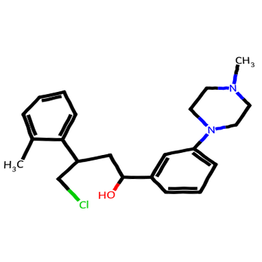 Cc1ccccc1C(CCl)CC(O)c1cccc(N2CCN(C)CC2)c1